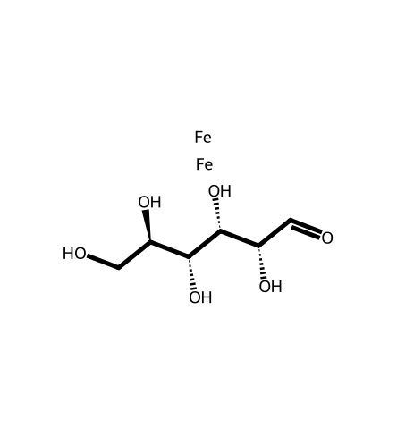 O=C[C@H](O)[C@@H](O)[C@H](O)[C@H](O)CO.[Fe].[Fe]